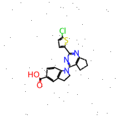 O=C(O)c1ccc2c(c1)CCN2c1nc(-c2ccc(Cl)s2)nc2c1CCC2